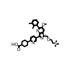 COc1cc2c(nc1-c1cccc(C)c1C)c(-c1ccc(C3CCC(C(=O)O)CC3)nc1)nn2COCC[Si](C)(C)C